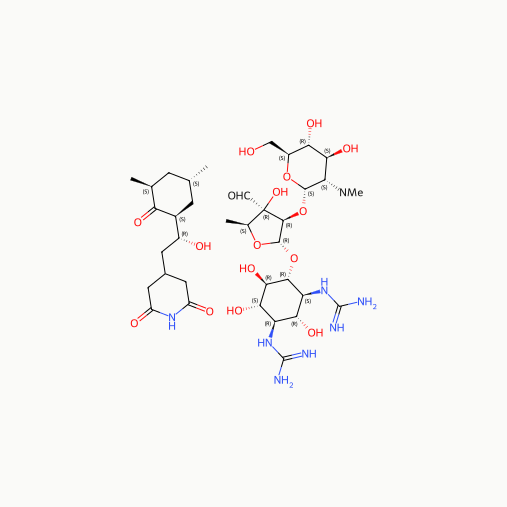 CN[C@@H]1[C@H](O[C@H]2[C@H](O[C@H]3[C@H](O)[C@@H](O)[C@H](NC(=N)N)[C@@H](O)[C@@H]3NC(=N)N)O[C@@H](C)[C@]2(O)C=O)O[C@@H](CO)[C@H](O)[C@H]1O.C[C@@H]1C[C@@H]([C@H](O)CC2CC(=O)NC(=O)C2)C(=O)[C@@H](C)C1